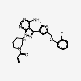 C=CC(=O)N1CCC[C@@H](n2nc(-c3csc(COc4ccccc4F)c3)c3c(N)ncnc32)C1